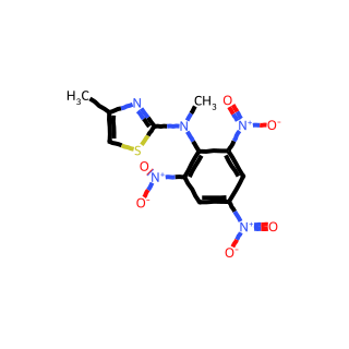 Cc1csc(N(C)c2c([N+](=O)[O-])cc([N+](=O)[O-])cc2[N+](=O)[O-])n1